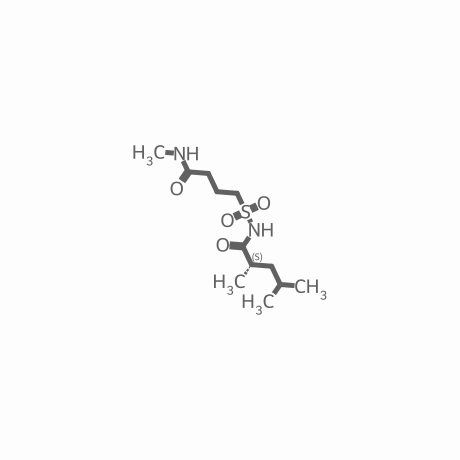 CNC(=O)CCCS(=O)(=O)NC(=O)[C@@H](C)CC(C)C